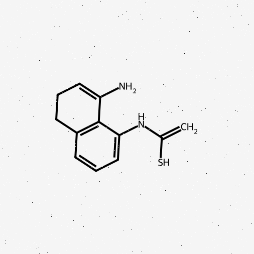 C=C(S)Nc1cccc2c1C(N)=CCC2